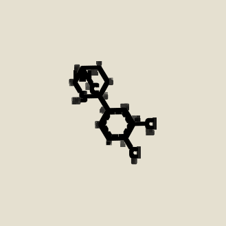 Clc1ccc(C23CCC(CS2)NC3)cc1Cl